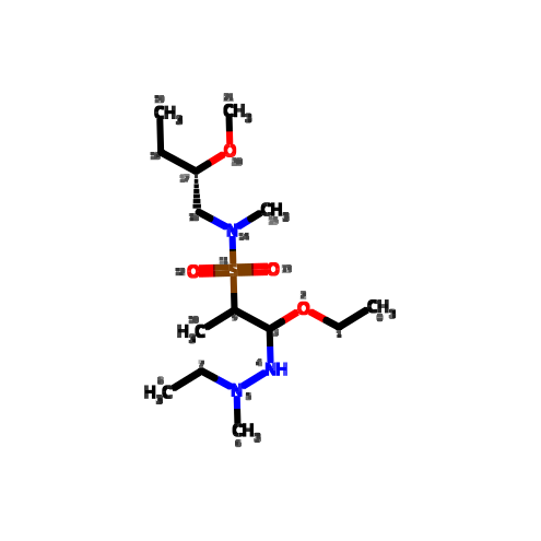 CCOC(NN(C)CC)C(C)S(=O)(=O)N(C)C[C@H](CC)OC